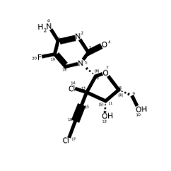 Nc1nc(=O)n([C@@H]2O[C@H](CO)[C@H](O)C2(Cl)C#CCl)cc1F